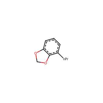 [CH2]CCc1cccc2c1OCO2